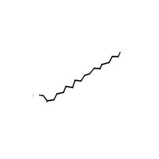 CC(C)CCCCCCCCCCCCCCCC(CC(C)C)C(=O)O